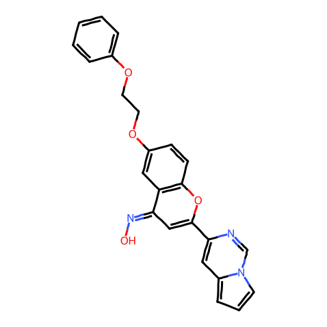 ON=c1cc(-c2cc3cccn3cn2)oc2ccc(OCCOc3ccccc3)cc12